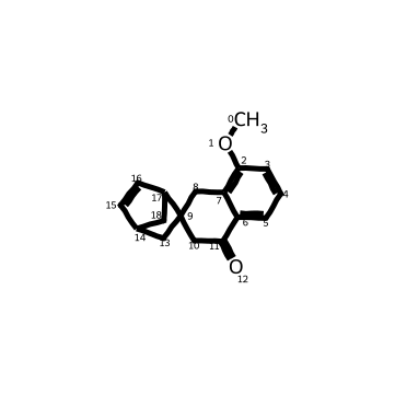 COc1cccc2c1CC1(CC2=O)CC2C=CC1C2